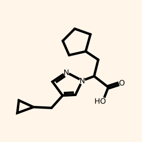 O=C(O)C(CC1CCCC1)n1cc(CC2CC2)cn1